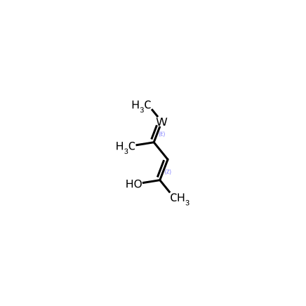 [CH3]/[W]=[C](C)/C=C(/C)O